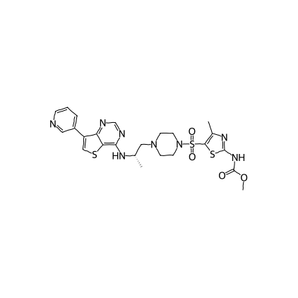 COC(=O)Nc1nc(C)c(S(=O)(=O)N2CCN(C[C@H](C)Nc3ncnc4c(-c5cccnc5)csc34)CC2)s1